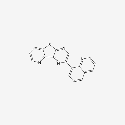 c1cnc2c(-c3cnc4sc5cccnc5c4n3)cccc2c1